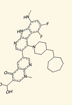 CNc1cc(F)c(F)c2c1[nH]c1ncc(-c3cnc4c(c3)c(=O)c(C(O)O)cn4C)c(N3CCC(CC4CCCCCC4)CC3)c12